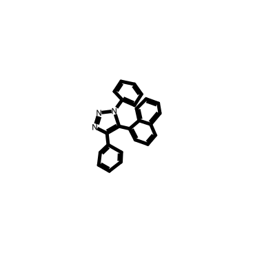 c1ccc(-c2nnn(-c3ccccc3)c2-c2cccc3ccccc23)cc1